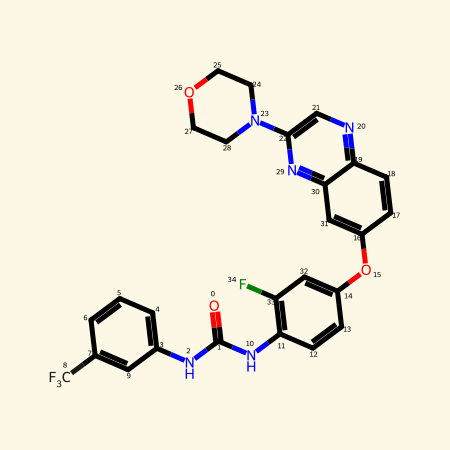 O=C(Nc1cccc(C(F)(F)F)c1)Nc1ccc(Oc2ccc3ncc(N4CCOCC4)nc3c2)cc1F